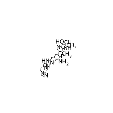 Cc1c(-c2cc3cc(Nc4cc5n(n4)Cc4nccn4CC5)ncc3c(N)c2F)cnc2c1NC(C)(C)[C@H]2O